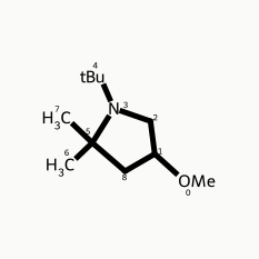 COC1CN(C(C)(C)C)C(C)(C)C1